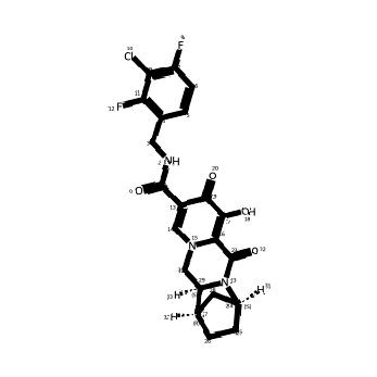 O=C(NCc1ccc(F)c(Cl)c1F)c1cn2c(c(O)c1=O)C(=O)N1[C@H]3CC[C@H](C3)[C@H]1C2